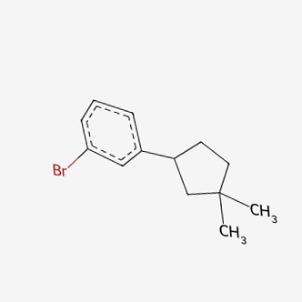 CC1(C)CCC(c2cccc(Br)c2)C1